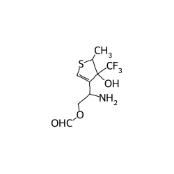 CC1SC=C(C(N)COC=O)C1(O)C(F)(F)F